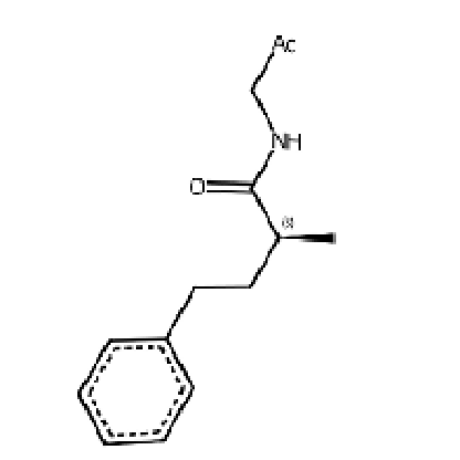 CC(=O)CNC(=O)[C@@H](C)CCc1ccccc1